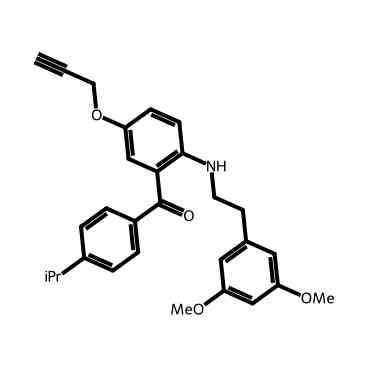 C#CCOc1ccc(NCCc2cc(OC)cc(OC)c2)c(C(=O)c2ccc(C(C)C)cc2)c1